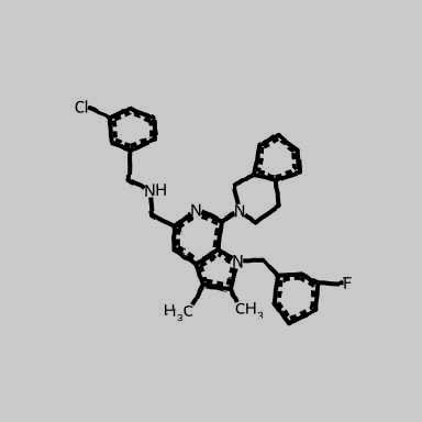 Cc1c(C)n(Cc2cccc(F)c2)c2c(N3CCc4ccccc4C3)nc(CNCc3cccc(Cl)c3)cc12